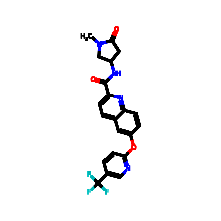 CN1CC(NC(=O)c2ccc3cc(Oc4ccc(C(F)(F)F)cn4)ccc3n2)CC1=O